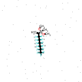 C=C(C(F)(F)C(F)(F)C(F)(F)C(F)(F)C(F)(F)C(F)(F)F)[Si](C)(OC)OC